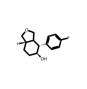 O[C@H]1CC[C@@H]2COCC2[C@@H]1c1ccc(F)cc1